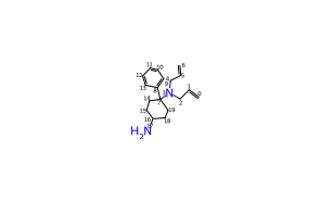 C=CCN(CC=C)C1(c2ccccc2)CCC(N)CC1